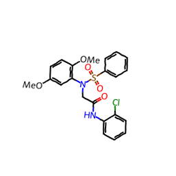 COc1ccc(OC)c(N(CC(=O)Nc2ccccc2Cl)S(=O)(=O)c2ccccc2)c1